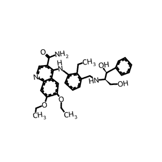 CCOc1cc2ncc(C(N)=O)c(Nc3cccc(CN[C@H](CO)[C@@H](O)c4ccccc4)c3CC)c2cc1OCC